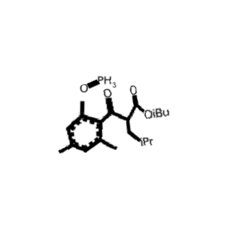 Cc1cc(C)c(C(=O)C(CC(C)C)C(=O)OCC(C)C)c(C)c1.O=[PH3]